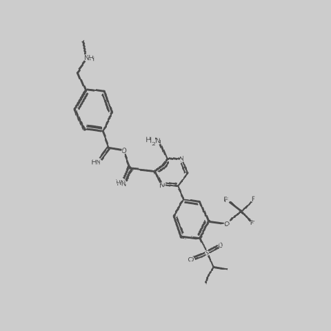 CNCc1ccc(C(=N)OC(=N)c2nc(-c3ccc(S(=O)(=O)C(C)C)c(OC(F)(F)F)c3)cnc2N)cc1